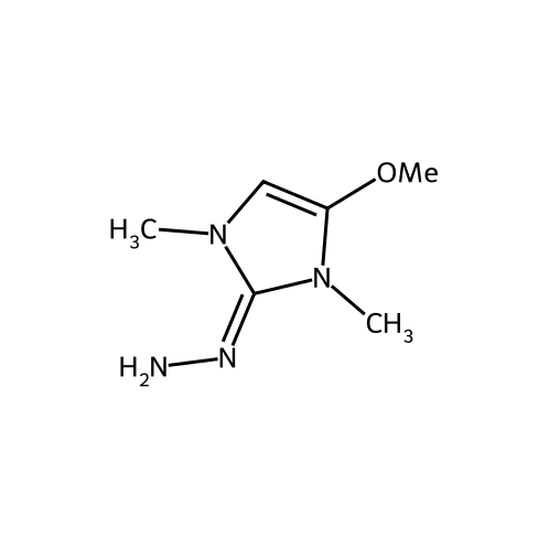 COc1cn(C)c(=NN)n1C